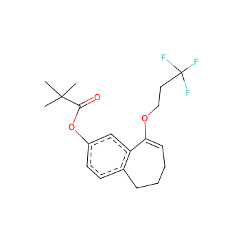 CC(C)(C)C(=O)Oc1ccc2c(c1)C(OCCC(F)(F)F)=CCCC2